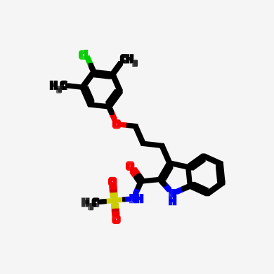 Cc1cc(OCCCc2c(C(=O)NS(C)(=O)=O)[nH]c3ccccc23)cc(C)c1Cl